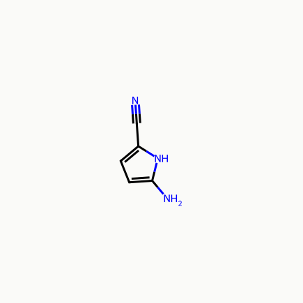 N#Cc1ccc(N)[nH]1